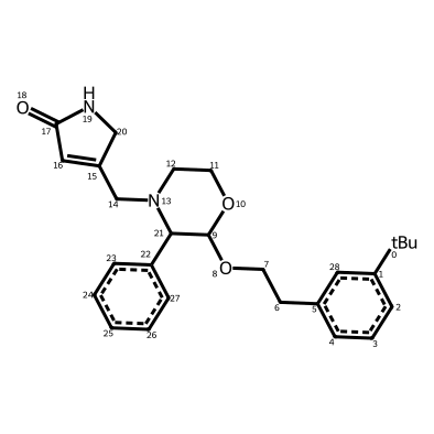 CC(C)(C)c1cccc(CCOC2OCCN(CC3=CC(=O)NC3)C2c2ccccc2)c1